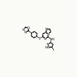 Cc1cc(Nc2nc(Sc3ccc(-c4nnco4)cc3)cc3nccn23)n[nH]1